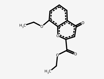 CCOC(=O)c1cc(=O)c2cccc(OCC)c2o1